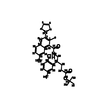 Cc1c(N2CC=CC2)nc2ccc(Br)cc2c1C(=O)NCC(CCC(=O)OC(C)(C)C)c1cc(F)ccc1Cl